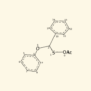 CC(=O)OSC(Oc1ccccc1)c1ccccc1